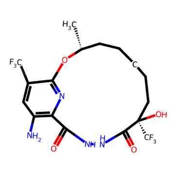 C[C@@H]1CCCCC[C@](O)(C(F)(F)F)C(=O)NNC(=O)c2nc(c(C(F)(F)F)cc2N)O1